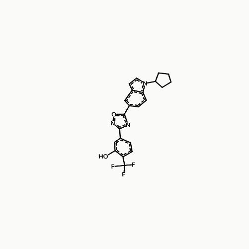 Oc1cc(-c2noc(-c3ccc4c(ccn4C4CCCC4)c3)n2)ccc1C(F)(F)F